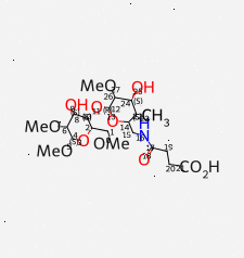 COCC1O[C@H](OC)C(OC)[C@@H](O)[C@@H]1O[C@H]1OC(CNC(=O)CCC(=O)O)[C@@H](C)[C@H](O)C1OC